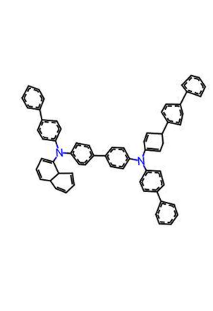 C1=CC2C=CC=C(N(c3ccc(-c4ccccc4)cc3)c3ccc(-c4ccc(N(C5=CCC(c6ccc(-c7ccccc7)cc6)C=C5)c5ccc(-c6ccccc6)cc5)cc4)cc3)C2C=C1